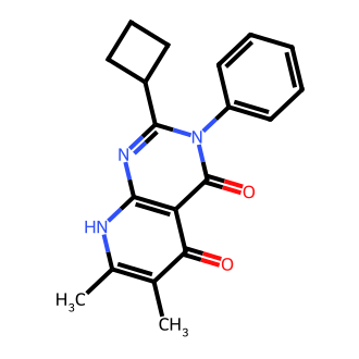 Cc1[nH]c2nc(C3CCC3)n(-c3ccccc3)c(=O)c2c(=O)c1C